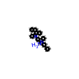 NC(c1ccc(N2C3=C(CCC=C3)C3C2=c2ccccc2=C2CCc4ccccc4C23)cc1)N(C1=CC=CCC1)C1C=CC(C2=CC=CCC2)CC1